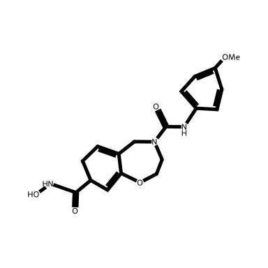 COc1ccc(NC(=O)N2CCOC3=CC(C(=O)NO)CC=C3C2)cc1